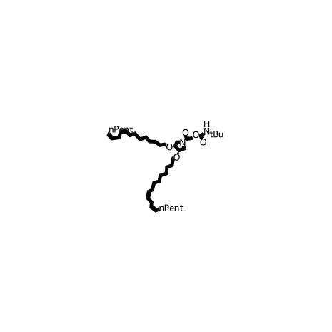 CCCCC/C=C\C/C=C\CCCCCCCCO[C@@H]1CN(C(=O)COC(=O)NC(C)(C)C)C[C@H]1OCCCCCCCC/C=C\C/C=C\CCCCC